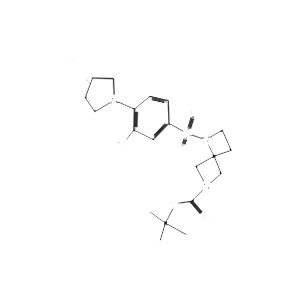 CC(C)(C)OC(=O)N1CC2(CCN2S(=O)(=O)c2ccc(N3CC[C@H](O)C3)c(Br)c2)C1